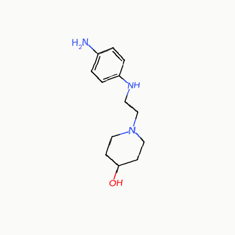 Nc1ccc(NCCN2CCC(O)CC2)cc1